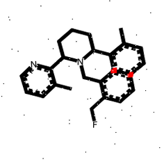 Cc1cccnc1C1CCCC(c2ncccc2C)N1Cc1ccccc1CF